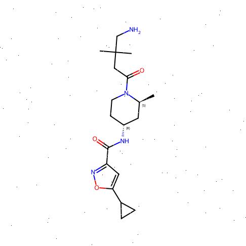 C[C@H]1C[C@H](NC(=O)c2cc(C3CC3)on2)CCN1C(=O)CC(C)(C)CN